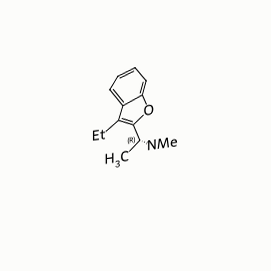 CCc1c([C@@H](C)NC)oc2ccccc12